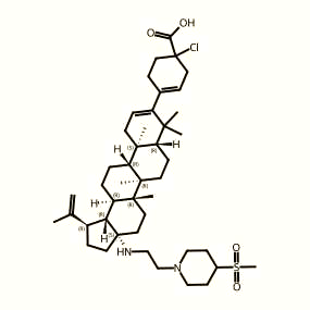 C=C(C)[C@@H]1CC[C@]2(NCCN3CCC(S(C)(=O)=O)CC3)CC[C@]3(C)[C@H](CC[C@@H]4[C@@]5(C)CC=C(C6=CCC(Cl)(C(=O)O)CC6)C(C)(C)[C@@H]5CC[C@]43C)[C@@H]12